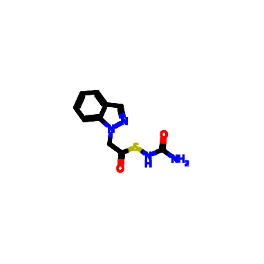 NC(=O)NSC(=O)Cn1ncc2ccccc21